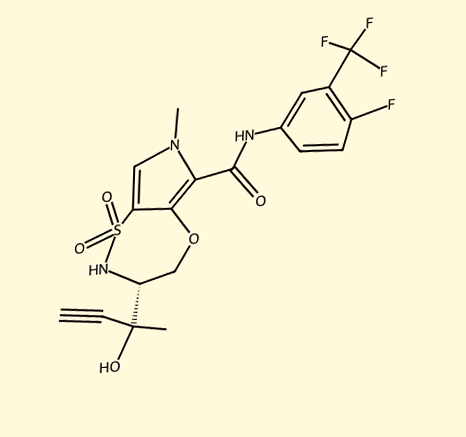 C#CC(C)(O)[C@H]1COc2c(cn(C)c2C(=O)Nc2ccc(F)c(C(F)(F)F)c2)S(=O)(=O)N1